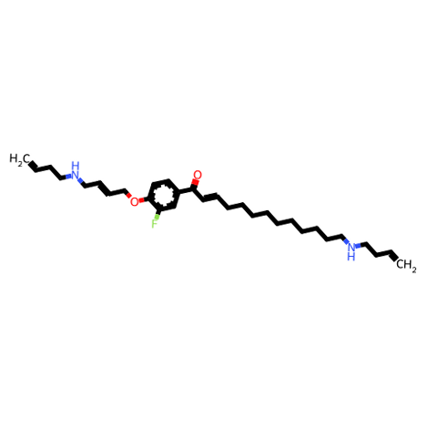 C=CCCNCC=CCOc1ccc(C(=O)C=CCCCCCCCCCCNCCC=C)cc1F